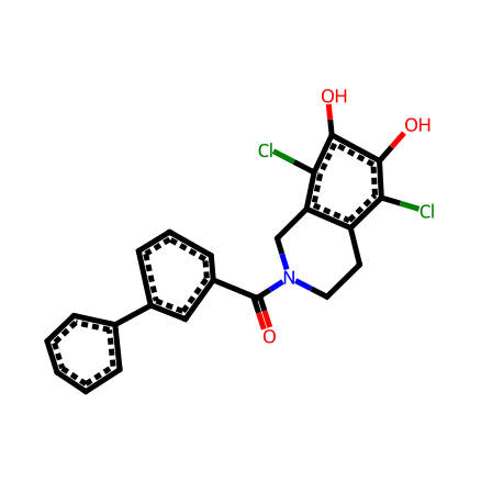 O=C(c1cccc(-c2ccccc2)c1)N1CCc2c(Cl)c(O)c(O)c(Cl)c2C1